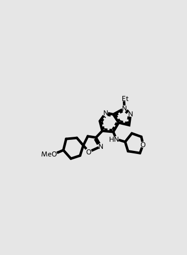 CCn1ncc2c(NC3CCOCC3)c(C3=NOC4(CCC(OC)CC4)C3)cnc21